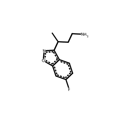 CC(CCN)c1noc2cc(F)ccc12